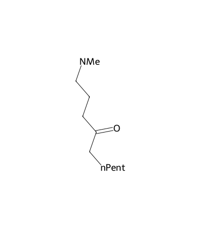 CCCCCCC(=O)CCCNC